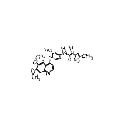 COc1cc2nccc(Oc3ccc(NC(=O)Nc4cc(C)on4)cc3)c2cc1OC.Cl